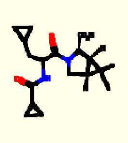 CC1(C)[C@@H]2[C@@H](C(=O)O)N(C(=O)C(CC3CC3)NC(=O)C3CC3)C[C@@H]21